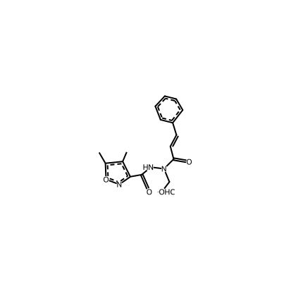 Cc1onc(C(=O)NN(C[C]=O)C(=O)/C=C/c2ccccc2)c1C